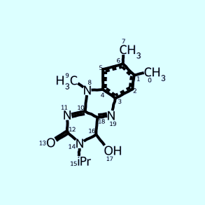 Cc1cc2c(cc1C)N(C)C1=NC(=O)N(C(C)C)C(O)C1=N2